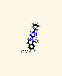 CCC1c2cc(F)c(OC)cc2CCN1c1cnc(-c2ncccn2)nc1